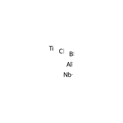 [Al].[B].[C].[Nb].[Ti]